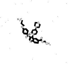 CCCCOc1ccc(S(=O)(=O)c2cnc3ccc(C(=O)OCC)cc3c2N2CCC(N3CCOCC3)CC2)cc1